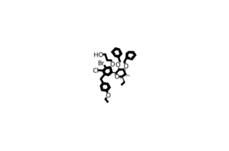 CCOc1ccc(Cc2cc([C@@H]3O[C@H](CC)[C@@H](C)[C@H](OCc4ccccc4)[C@H]3OCc3ccccc3)c(OCCCO)c(Br)c2Cl)cc1